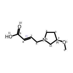 CO[C@@H]1CCN(C/C=C/C(=O)O)C1